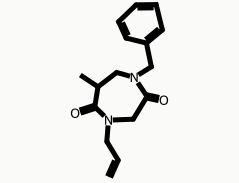 C=CCN1CC(=O)N(Cc2ccccc2)CC(C)C1=O